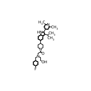 Cc1cc(-c2[nH]c3ccc(C4CCN(C(=O)CN(CCO)Cc5ccc(F)cc5)CC4)cc3c2C(C)C)cc(C)n1